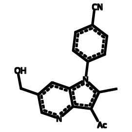 CC(=O)c1c(C)n(-c2ccc(C#N)cc2)c2cc(CO)cnc12